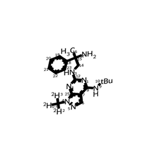 [2H]C([2H])([2H])n1ncc2c(NC(C)(C)C)nc(NCC(C)(N)c3ccccc3)nc21